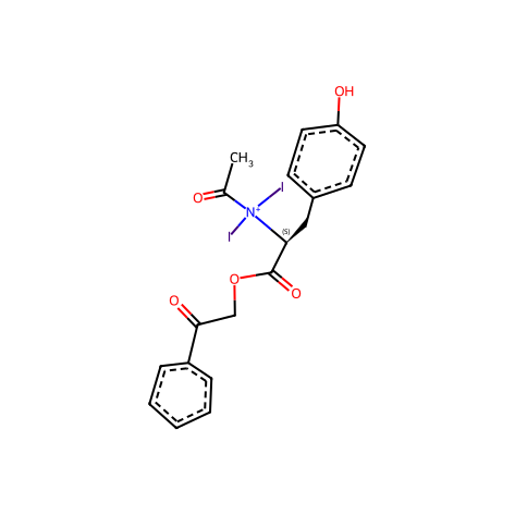 CC(=O)[N+](I)(I)[C@@H](Cc1ccc(O)cc1)C(=O)OCC(=O)c1ccccc1